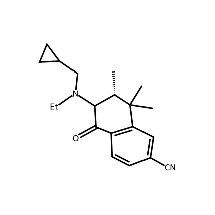 CCN(CC1CC1)C1C(=O)c2ccc(C#N)cc2C(C)(C)[C@H]1C